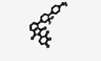 NN1CCN(C2CCN(c3cccc4c3C(=O)N(C3CCC(=O)NC3=O)C4=O)CC2(F)F)CC1